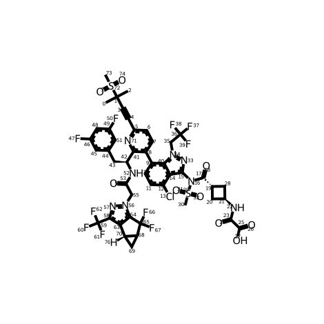 CC(C)(C#Cc1ccc(-c2ccc(Cl)c3c(N(C(=O)[C@H]4C[C@H](NC(=O)C(=O)O)C4)S(C)(=O)=O)nn(CC(F)(F)F)c23)c([C@H](Cc2cc(F)cc(F)c2)NC(=O)Cn2nc(C(F)(F)F)c3c2C(F)(F)C2C[C@H]32)n1)S(C)(=O)=O